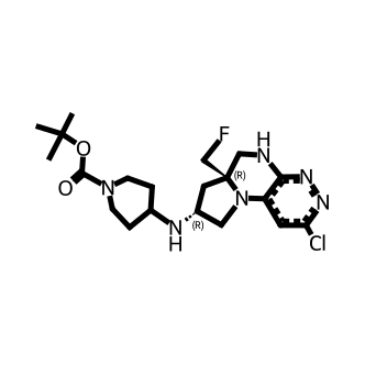 CC(C)(C)OC(=O)N1CCC(N[C@H]2CN3c4cc(Cl)nnc4NC[C@@]3(CF)C2)CC1